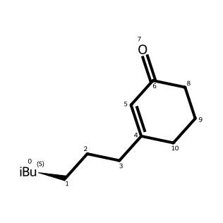 CC[C@H](C)CCCC1=CC(=O)CCC1